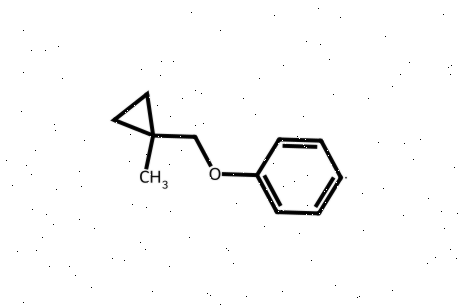 CC1(COc2cc[c]cc2)CC1